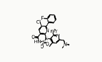 CCCc1nc(CN(C)C)cc(C)c1N1c2nc(-c3ccccc3F)c(Cl)cc2C(=O)NS1(=O)=O